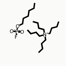 CCCCCCOP(=O)([O-])F.CCCC[N+](CCCC)(CCCC)CCCC